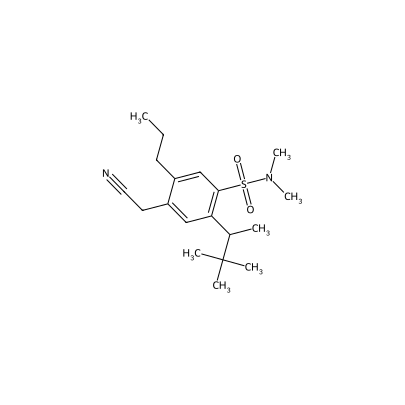 CCCc1cc(S(=O)(=O)N(C)C)c(C(C)C(C)(C)C)cc1CC#N